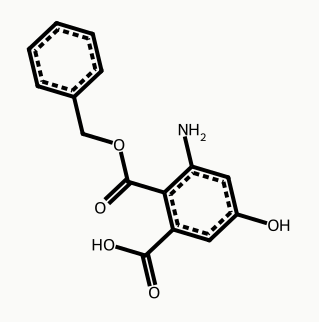 Nc1cc(O)cc(C(=O)O)c1C(=O)OCc1ccccc1